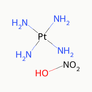 O=[N+]([O-])O.[NH2][Pt]([NH2])([NH2])[NH2]